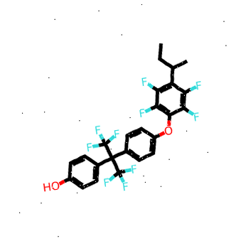 CCC(C)c1c(F)c(F)c(Oc2ccc(C(c3ccc(O)cc3)(C(F)(F)F)C(F)(F)F)cc2)c(F)c1F